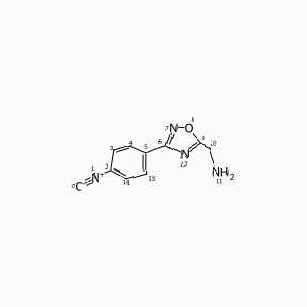 [C-]#[N+]c1ccc(-c2noc(CN)n2)cc1